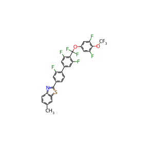 Cc1ccc2nc(-c3ccc(-c4cc(F)c(C(F)(F)Oc5cc(F)c(OC(F)(F)F)c(F)c5)c(F)c4)c(F)c3)sc2c1